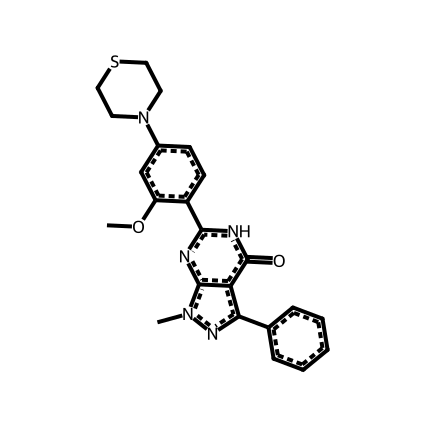 COc1cc(N2CCSCC2)ccc1-c1nc2c(c(-c3ccccc3)nn2C)c(=O)[nH]1